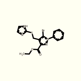 CCOC(=O)c1nn(-c2ccccc2)c(Br)c1CSc1ncc[nH]1